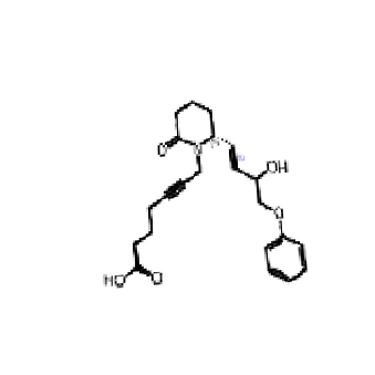 O=C(O)CCCC#CCN1C(=O)CCC[C@@H]1/C=C/C(O)COc1ccccc1